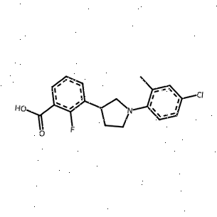 Cc1cc(Cl)ccc1N1CCC(c2cccc(C(=O)O)c2F)C1